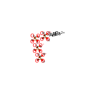 O=S(=O)([O-])[O-].O=S(=O)([O-])[O-].O=S(=O)([O-])[O-].O=S(=O)([O-])[O-].[Al+3].[Al+3].[Ca+2]